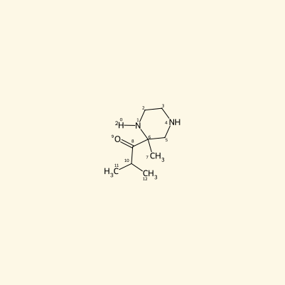 [2H]N1CCNCC1(C)C(=O)C(C)C